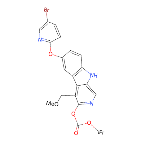 COCc1c(OC(=O)OC(C)C)ncc2[nH]c3ccc(Oc4ccc(Br)cn4)cc3c12